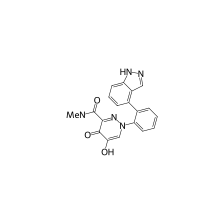 CNC(=O)c1nn(-c2ccccc2-c2cccc3[nH]ncc23)cc(O)c1=O